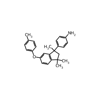 Cc1ccc(Oc2ccc3c(c2)C(C)(c2ccc(N)cc2)CC3(C)C)cc1